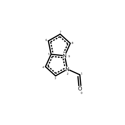 O=Cn1ccc2cccn21